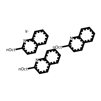 CCCCCCCCc1ccc2ccccc2n1.CCCCCCCCc1ccc2ccccc2n1.CCCCCCCCc1ccc2ccccc2n1.[Ir]